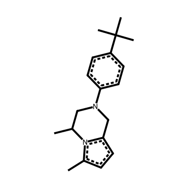 Cc1ccc2n1C(C)CN(c1ccc(C(C)(C)C)cc1)C2